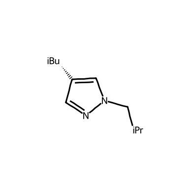 CC[C@@H](C)c1cnn(CC(C)C)c1